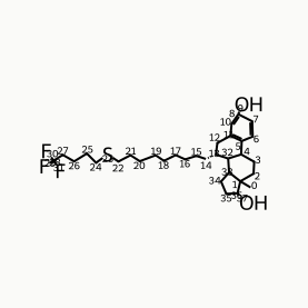 CC12CCC3c4ccc(O)cc4C[C@@H](CCCCCCCCCSCCCCC(F)(F)F)C3C1CCC2O